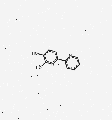 Oc1cnc(-c2ccccn2)nc1O